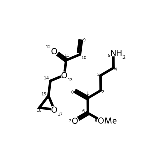 C=C(CCCN)C(=O)OC.C=CC(=O)OCC1CO1